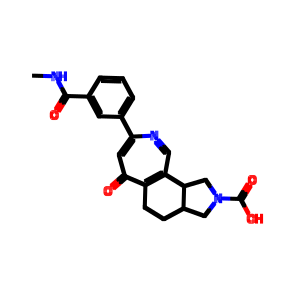 CNC(=O)c1cccc(-c2cc(=O)c3c(cn2)C2CN(C(=O)O)CC2CC3)c1